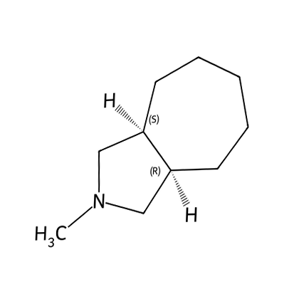 CN1C[C@H]2CCCCC[C@H]2C1